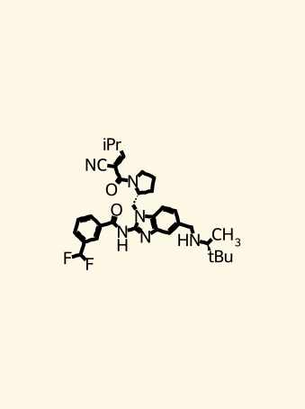 CC(C)C=C(C#N)C(=O)N1CCC[C@@H]1Cn1c(NC(=O)c2cccc(C(F)F)c2)nc2cc(CN[C@@H](C)C(C)(C)C)ccc21